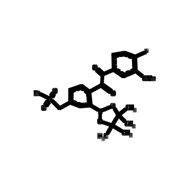 CCS(=O)(=O)Cc1ccc(C(=O)C(=O)c2ccc(F)c(OC)c2)c(B2OC(C)(C)C(C)(C)O2)c1